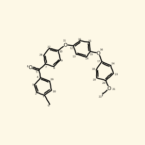 Cc1ccc(C(=O)c2ccc(Oc3ccc(Oc4ccc(OI)cc4)cc3)cc2)cc1